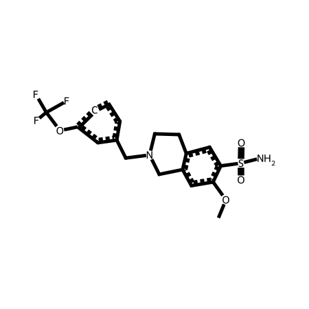 COc1cc2c(cc1S(N)(=O)=O)CCN(Cc1cccc(OC(F)(F)F)c1)C2